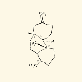 C=C1CC[C@@H]2[C@](I)(CCC3[C@@H](C)CCC[C@]32C)C1